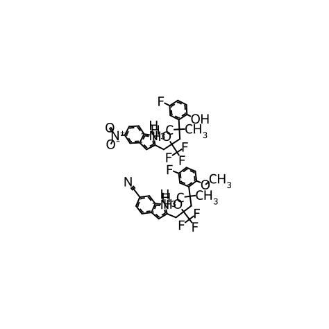 CC(C)(CC(O)(Cc1cc2cc([N+](=O)[O-])ccc2[nH]1)C(F)(F)F)c1cc(F)ccc1O.COc1ccc(F)cc1C(C)(C)CC(O)(Cc1cc2ccc(C#N)cc2[nH]1)C(F)(F)F